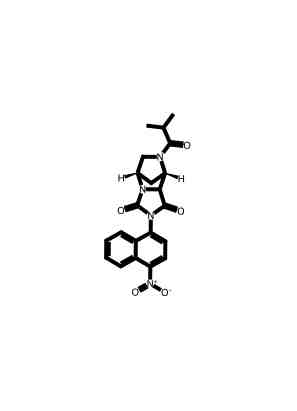 CC(C)C(=O)N1C[C@@H]2C[C@H]1C1C(=O)N(c3ccc([N+](=O)[O-])c4ccccc34)C(=O)N12